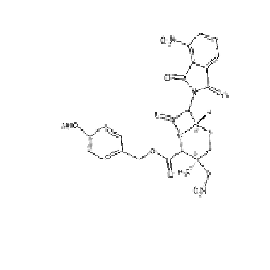 COc1ccc(COC(=O)C2N3C(=O)C(N4C(=O)c5cccc([N+](=O)[O-])c5C4=O)[C@@H]3SC[C@@]2(C)O[N+](=O)[O-])cc1